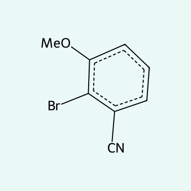 COc1cccc(C#N)c1Br